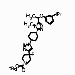 CC(C)c1cccc(OC(C)c2nnc([C@H]3CC[C@H](n4cc(C5(F)CCN(C(=O)OC(C)(C)C)CC5)nn4)CC3)n2C)c1